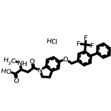 CNC(CC(=O)N1CCc2cc(OCc3ccc(-c4ccccc4)c(C(F)(F)F)c3)ccc21)C(=O)O.Cl